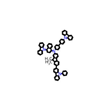 CC1(C)c2cc(-c3ccc4c5ccccc5n(-c5ccccc5)c4c3)ccc2-c2ccc(N(c3ccc(-c4ccc(-n5c6ccccc6c6ccccc65)cc4)cc3)c3ccc(-n4c5ccccc5c5ccccc54)c4ccccc34)cc21